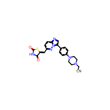 N#CCN1CCN(c2ccc(-c3cnc4ccc(/C=C5\SC(=O)NC5=O)nn34)cc2)CC1